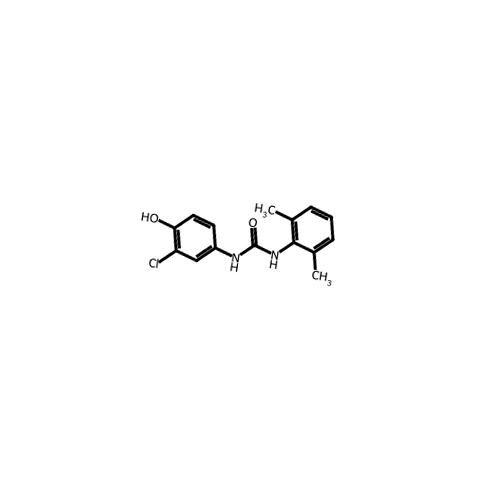 Cc1cccc(C)c1NC(=O)Nc1ccc(O)c(Cl)c1